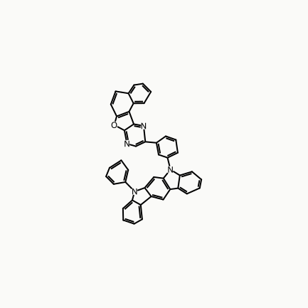 c1ccc(-n2c3ccccc3c3cc4c5ccccc5n(-c5cccc(-c6cnc7oc8ccc9ccccc9c8c7n6)c5)c4cc32)cc1